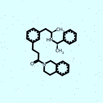 C[C@H](Cc1cccc(CCC(=O)N2CCc3ccccc3C2)c1)N[C@H](C)c1ccccc1